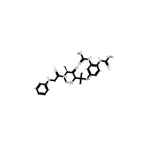 C[C@@H](C(=O)C(N)C(C)(C)Nc1ccc(OC(=O)C(C)(C)C)c(OC(=O)C(C)(C)C)c1)N(C)C(=O)COc1ccccc1